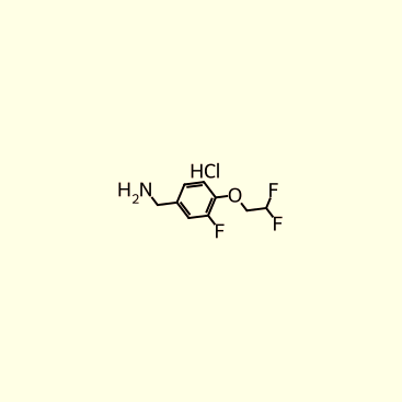 Cl.NCc1ccc(OCC(F)F)c(F)c1